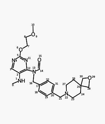 CNc1cnc(OCCOC)nc1N(C=O)Cc1ccc(CN2CCC3(CC2)COC3)cc1